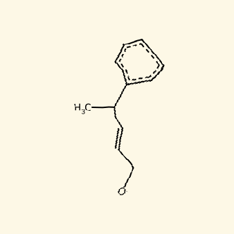 CC(C=CC[O])c1ccccc1